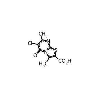 Cc1nc2sc(C(=O)O)c(C)n2c(=O)c1Cl